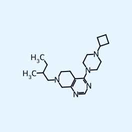 CCC(C)CN1CCc2c(ncnc2N2CCN(C3CCC3)CC2)C1